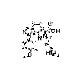 COc1ccc(-n2ncc3c2-c2nn(CCCN)c(C(=O)O)c2CC3)cc1.Cl